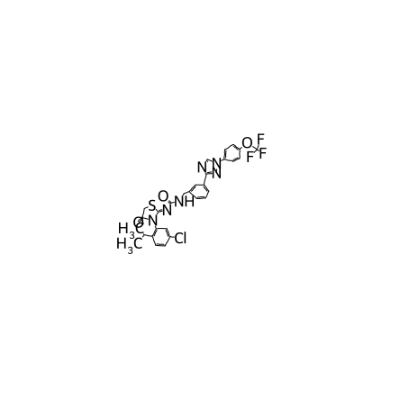 CC(C)c1ccc(Cl)cc1N1C(=O)CSC1=NC(=O)NCc1cccc(-c2ncn(-c3ccc(OC(F)(F)F)cc3)n2)c1